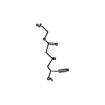 CCOC(=O)CNCC(C)C#N